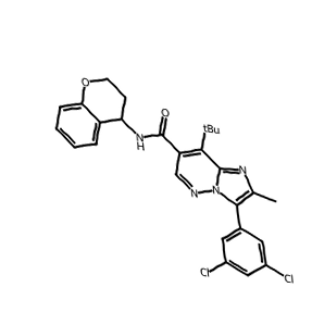 Cc1nc2c(C(C)(C)C)c(C(=O)NC3CCOc4ccccc43)cnn2c1-c1cc(Cl)cc(Cl)c1